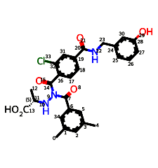 Cc1cc(C)cc(C(=O)N(N[C@@H](C)C(=O)O)C(=O)c2ccc(C(=O)NCc3cccc(O)c3)cc2Cl)c1